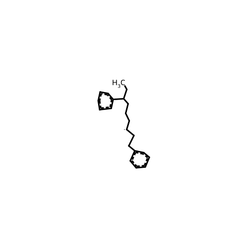 CCC(CCC[CH]CCc1ccccc1)c1ccccc1